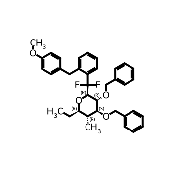 CC[C@H]1O[C@@H](C(F)(F)c2ccccc2Cc2ccc(OC)cc2)[C@H](OCc2ccccc2)[C@@H](OCc2ccccc2)[C@@H]1C